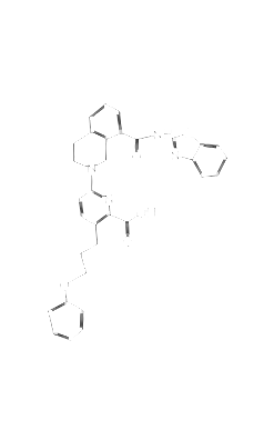 O=C(Nc1nc2ccccc2s1)c1cccc2c1CN(c1ccc(CCCOc3ccccc3)c(C(=O)O)n1)CC2